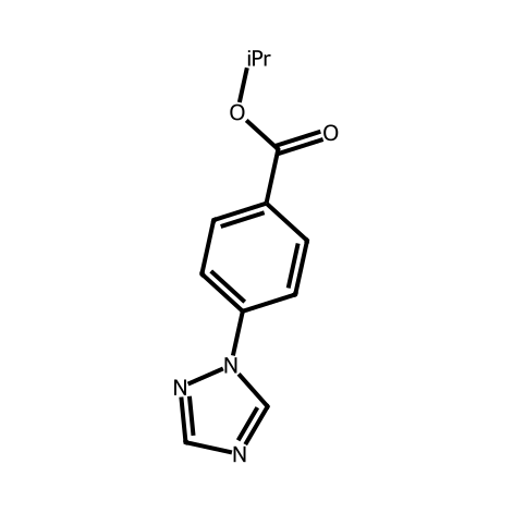 CC(C)OC(=O)c1ccc(-n2cncn2)cc1